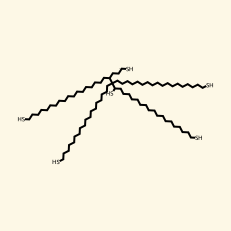 S[CH]CCC(CCCCCCCCCCCCCCCCCCS)C(CCCCCCCCCCCCCCCCCCS)(CCCCCCCCCCCCCCCCCCS)[C](S)CCCCCCCCCCCCCCCCCCS